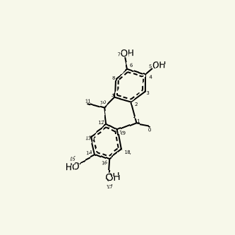 CC1c2cc(O)c(O)cc2C(C)c2cc(O)c(O)cc21